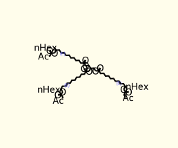 CCCCCCC(C/C=C/CCCCCCCC(=O)OCC(COC(=O)CCCCCCC/C=C/CC(CCCCCC)OC(=O)CC(C)=O)OC(=O)CCCCCCC/C=C/CC(CCCCCC)OC(=O)CC(C)=O)OC(=O)CC(C)=O